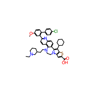 CCN1CCCC(CCN2CCn3c(c(C4CCCCC4)c4sc(C(=O)O)cc43)-c3ccc4nc(-c5cc(OC)ccc5-c5ccc(Cl)cc5)ccc4c32)C1